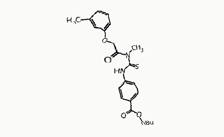 CCCCOC(=O)c1ccc(NC(=S)N(C)C(=O)COc2cccc(C)c2)cc1